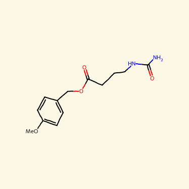 COc1ccc(COC(=O)CCCNC(N)=O)cc1